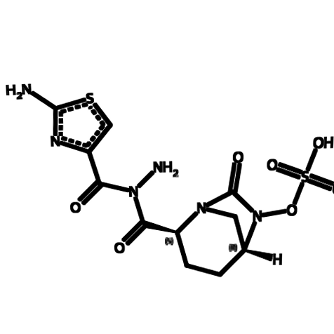 Nc1nc(C(=O)N(N)C(=O)[C@@H]2CC[C@@H]3CN2C(=O)N3OS(=O)(=O)O)cs1